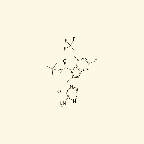 CC(C)(C)OC(=O)n1c(Cn2ccnc(N)c2=O)cc2cc(F)cc(CCC(F)(F)F)c21